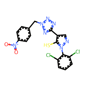 O=[N+]([O-])c1ccc(Cn2nnc(-c3cnn(-c4c(Cl)cccc4Cl)c3S)n2)cc1